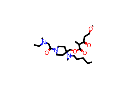 CCCCCN(C)C1(COC(=O)C(C)C(=O)CCOC)CCN(C(=O)CN(C)CC)CC1